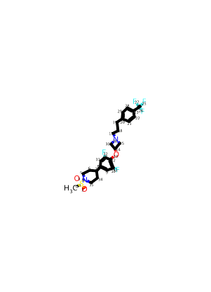 CS(=O)(=O)N1CCC(c2cc(F)c(OC3CN(CCCc4ccc(C(F)(F)F)cc4)C3)c(F)c2)CC1